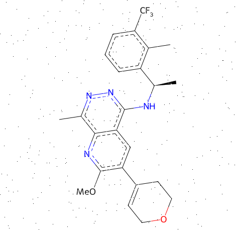 COc1nc2c(C)nnc(N[C@H](C)c3cccc(C(F)(F)F)c3C)c2cc1C1=CCOCC1